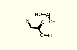 CCOC(=O)CN.[OH][Al][OH]